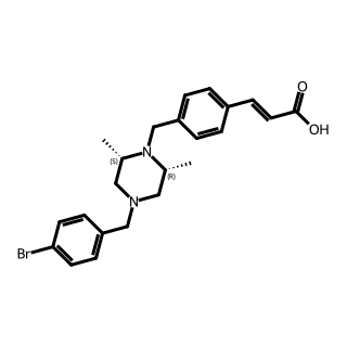 C[C@@H]1CN(Cc2ccc(Br)cc2)C[C@H](C)N1Cc1ccc(C=CC(=O)O)cc1